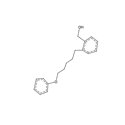 OCc1ccccc1CCCCCOc1ccccc1